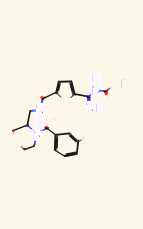 N=C(NC(=O)C(F)(F)F)c1ccc(C(=O)NCC2COCCN2C(=O)c2cccc(Cl)c2)s1